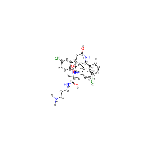 Cc1ccc(F)cc1[C@@H]1NC(=O)C[C@H](c2cc(Cl)ccc2OC(C)(C)C(=O)NCCCN(C)C)[C@@]12C(=O)Nc1cc(Cl)ccc12